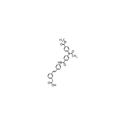 COC(=O)c1ccc(N(C(C)=O)c2ccc(C(=O)Nc3ccc(/C=C/c4cccc(CC(=O)O)c4)cc3)cc2)cc1